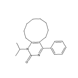 CC(C)n1c2c(c(-c3ccccc3)nc1=O)CCCCCCCC2